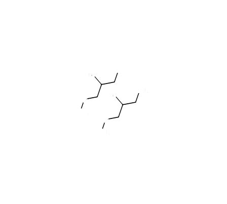 CCC(Br)COC.CCC(Br)COC.O